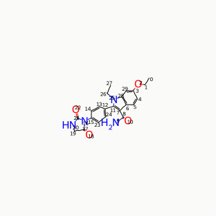 CCOc1ccc2c(C(N)=O)c(-c3ccc(N4C(=O)CNC4=O)cc3)n(CC)c2c1